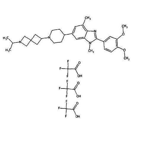 COc1ccc(-c2nc3c(C)cc(C4CCN(C5CC6(C5)CN(C(C)C)C6)CC4)cc3n2C)cc1OC.O=C(O)C(F)(F)F.O=C(O)C(F)(F)F.O=C(O)C(F)(F)F